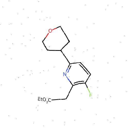 CCOC(=O)Cc1nc(C2CCOCC2)ccc1F